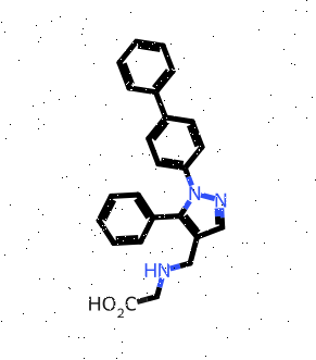 O=C(O)CNCc1cnn(-c2ccc(-c3ccccc3)cc2)c1-c1ccccc1